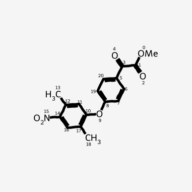 COC(=O)C(=O)c1ccc(Oc2cc(C)c([N+](=O)[O-])cc2C)cc1